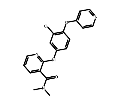 CN(C)C(=O)c1cccnc1Nc1ccc(Oc2ccncc2)c(Cl)c1